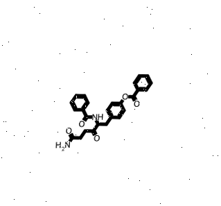 NC(=O)CCC(=O)C(Cc1ccc(OC(=O)c2ccccc2)cc1)NC(=O)c1ccccc1